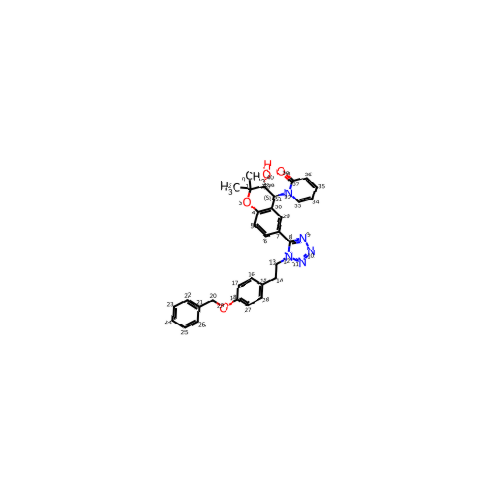 CC1(C)Oc2ccc(-c3nnnn3CCc3ccc(OCc4ccccc4)cc3)cc2[C@H](n2ccccc2=O)[C@H]1O